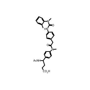 CC(=O)NC(CCC(=O)O)c1ccc(N(C)C(=O)Cc2ccc(NC(=O)N(C)c3ccccc3C)cc2)cc1